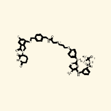 Cc1cnc(Nc2ccc(OCCCNCC(=O)NCc3ccc(COc4cc(F)cc5c4CN([C@H]4CCCC(=O)NC4=O)C5=O)cc3)cc2)nc1Nc1cccc(S(=O)(=O)NC(C)(C)C)c1